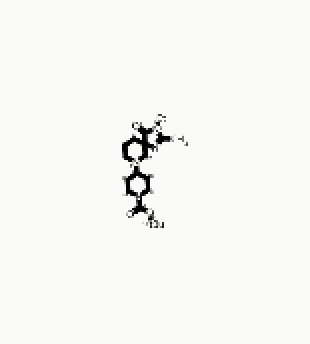 CCN1C(=O)C2(CCCN(C3CCN(C(=O)OC(C)(C)C)CC3)C2)N=C1C